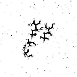 CCC(C(=O)[O-])C(=O)CC(F)(F)F.CCC(C(=O)[O-])C(=O)CC(F)(F)F.CCC(C)(C)[O][Zr+2][O]C(C)(C)CC